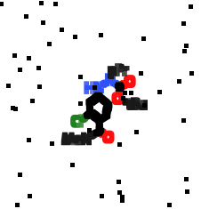 CCCN(Nc1ccc(C(=O)NC)c(Cl)c1)C(=O)OC(C)(C)C